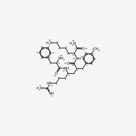 Cc1ccc(CC(CC(CCCNC(=N)N)NC(=O)C(N)Cc2ccccc2)C(=O)NC(CCCCN)C(N)=O)cc1